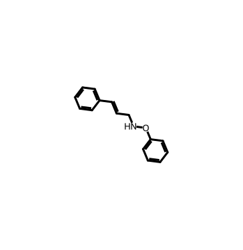 C(=Cc1ccccc1)CNOc1ccccc1